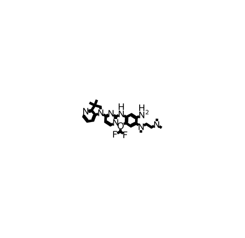 CN(C)CCN(C)c1cc(OC(F)F)c(Nc2nccc(N3CC(C)(C)c4ncccc43)n2)cc1N